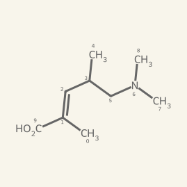 CC(=CC(C)CN(C)C)C(=O)O